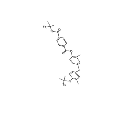 CCC(C)(C)OC(=O)c1ccc(C(=O)Oc2ccc(Cc3ccc(OC(C)(C)CC)c(C)c3)cc2C)cc1